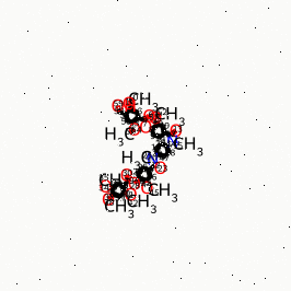 COc1cc(C(=O)Oc2ccc(C(=O)N(C)c3ccc(N(C)C(=O)c4ccc(OC(=O)c5cc(OC)c(OC)cc5OC)c(OC)c4)cc3)cc2OC)c(OC)cc1CO